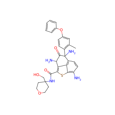 Cc1cc(Oc2ccccc2)ccc1C1(N)C(=O)C(N)c2c(C(=O)NC3(CO)CCOCC3)sc3c(N)ccc1c23